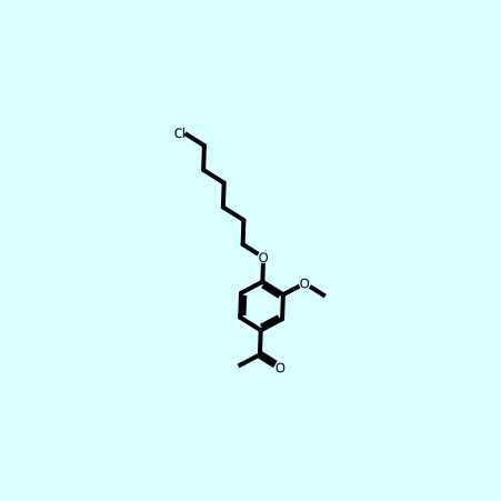 COc1cc(C(C)=O)ccc1OCCCCCCCl